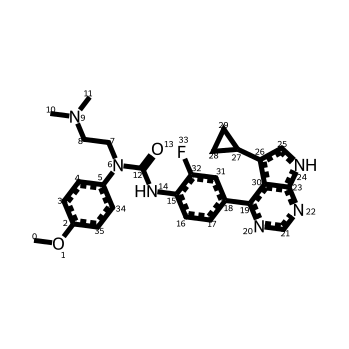 COc1ccc(N(CCN(C)C)C(=O)Nc2ccc(-c3ncnc4[nH]cc(C5CC5)c34)cc2F)cc1